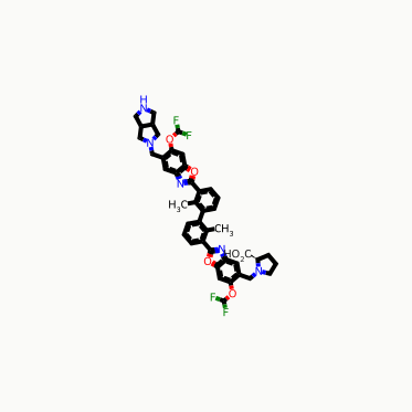 Cc1c(-c2nc3cc(CN4CC5CNCC5C4)c(OC(F)F)cc3o2)cccc1-c1cccc(-c2nc3cc(CN4CCC[C@H]4C(=O)O)c(OC(F)F)cc3o2)c1C